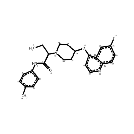 CCC(C(=O)Nc1ccc(C)cc1)N1CCC(Oc2ccnc3ccc(F)cc23)CC1